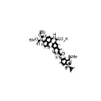 CCCCOc1ccc(C(Nc2ccc3c(N(C(=O)OC(C)(C)C)C(=O)OC(C)(C)C)ncc(F)c3c2)C(=O)O)cc1[C@@H](C)CC(=O)Nc1ccc(S(=O)(=O)C2CC2)c(CNC)c1